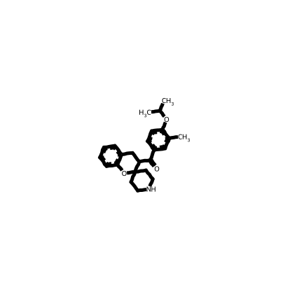 Cc1cc(C(=O)C2Cc3ccccc3OC23CCNCC3)ccc1OC(C)C